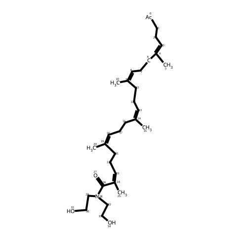 CC(=O)CCC=C(C)CCC=C(C)CCC=C(C)CCC=C(C)CCC=C(C)C(=O)N(CCO)CCO